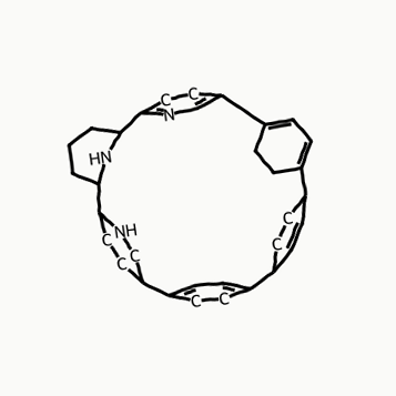 C1=CC2CCC1C1=CC=C(CC1)C1=CN=C(CC1)C1CCCC(N1)C1CCC(CN1)C1=CC=C2CC1